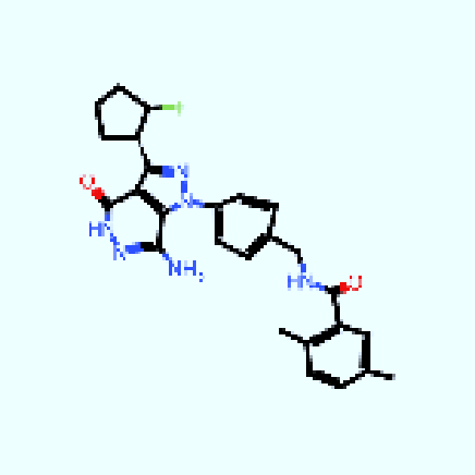 Cc1ccc(C)c(C(=O)NCc2ccc(-n3nc([C@H]4CCC[C@H]4F)c4c(=O)[nH]nc(N)c43)cc2)c1